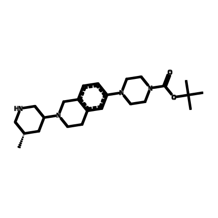 C[C@@H]1CNCC(N2CCc3cc(N4CCN(C(=O)OC(C)(C)C)CC4)ccc3C2)C1